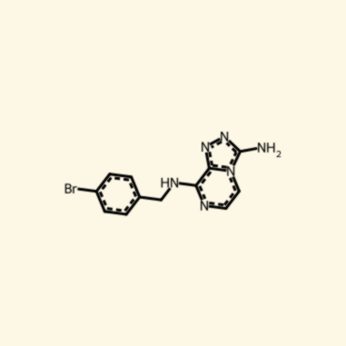 Nc1nnc2c(NCc3ccc(Br)cc3)nccn12